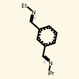 CC/N=C/c1cccc(/C=N/C(C)C)c1